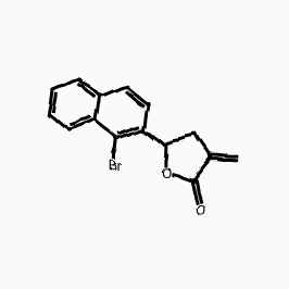 C=C1CC(c2ccc3ccccc3c2Br)OC1=O